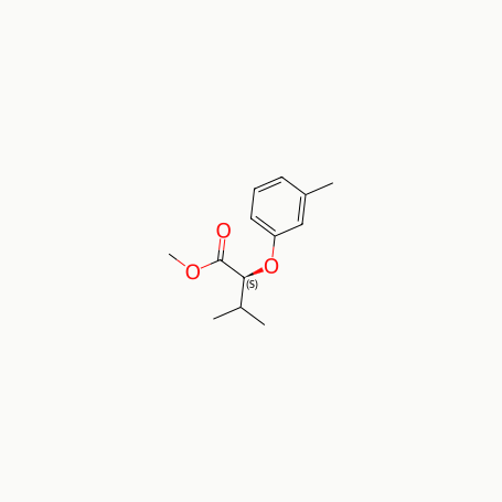 COC(=O)[C@@H](Oc1cccc(C)c1)C(C)C